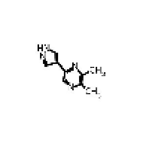 Cc1ncc(-c2cn[nH]c2)nc1C